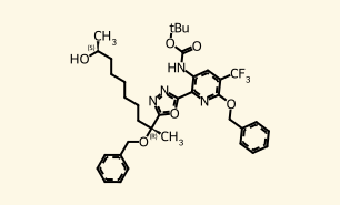 C[C@H](O)CCCCCC[C@@](C)(OCc1ccccc1)c1nnc(-c2nc(OCc3ccccc3)c(C(F)(F)F)cc2NC(=O)OC(C)(C)C)o1